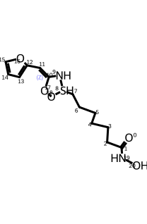 O=C(CCCCCC[SH]1N/C(=C/c2ccco2)OO1)NO